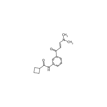 CN(C)C=CC(=O)c1cccc(NC(=O)C2CCC2)c1